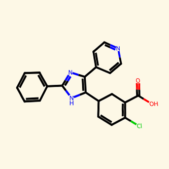 O=C(O)C1=C(Cl)C=CC(c2[nH]c(-c3ccccc3)nc2-c2ccncc2)C1